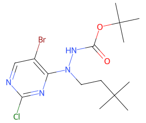 CC(C)(C)CCN(NC(=O)OC(C)(C)C)c1nc(Cl)ncc1Br